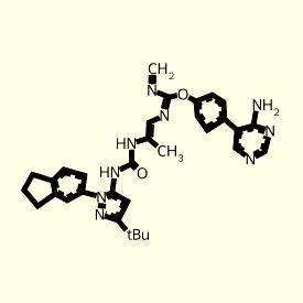 C=N/C(=N\C=C(/C)NC(=O)Nc1cc(C(C)(C)C)nn1-c1ccc2c(c1)CCC2)Oc1ccc(-c2cncnc2N)cc1